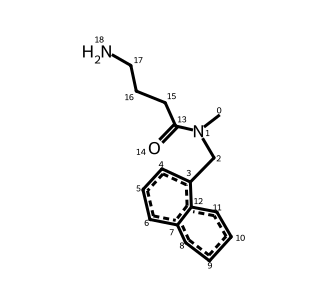 CN(Cc1cccc2ccccc12)C(=O)CCCN